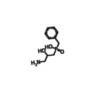 NCC(O)CP(=O)(O)Cc1ccccc1